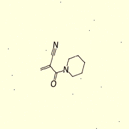 C=C(C#N)C(=O)N1CCCCC1